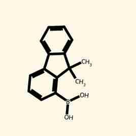 CC1(C)c2ccccc2-c2cccc(B(O)O)c21